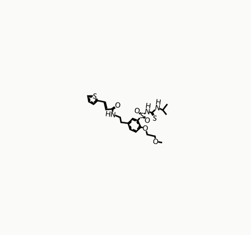 COCCOc1ccc(CCNC(=O)C=Cc2cccs2)cc1S(=O)(=O)NC(=S)NC(C)C